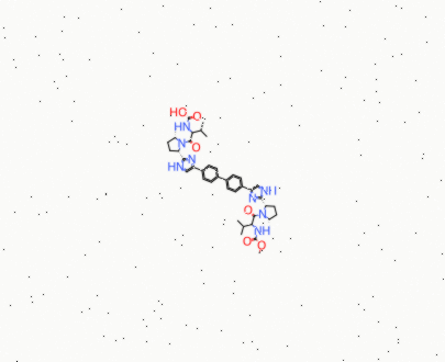 COC(=O)N[C@H](C(=O)N1[C@@H](C)CC[C@H]1c1nc(-c2ccc(-c3ccc(-c4c[nH]c([C@@H]5CC[C@H](C)N5C(=O)[C@@H](NC(=O)O)C(C)C)n4)cc3)cc2)c[nH]1)C(C)C